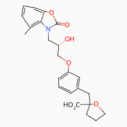 Cc1cccc2oc(=O)n(C[C@H](O)COc3cccc(CC4(C(=O)O)CCCO4)c3)c12